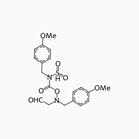 COc1ccc(CN(CC=O)OC(=O)N(Cc2ccc(OC)cc2)[SH](=O)=O)cc1